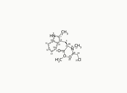 COC(=O)[C@@H](Cc1c(C)[nH]c2ccccc12)N(C)C(=O)CCl